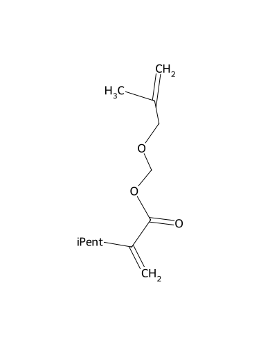 C=C(C)COCOC(=O)C(=C)C(C)CCC